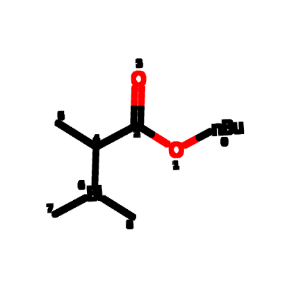 CCCCOC(=O)[CH](C)[Bi]([CH3])[CH3]